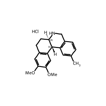 COc1cc2c(cc1OC)[C@H]1c3cc(C)ccc3CN[C@@H]1CC2.Cl